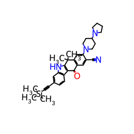 CC1(C)c2cc(N3CCC(N4CCCC4)CC3)c(C#N)cc2C(=O)c2c1[nH]c1cc(C#C[Si](C)(C)C)ccc21